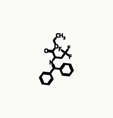 CCOC(=O)C(CC(F)(F)F)N=C(c1ccccc1)c1ccccc1